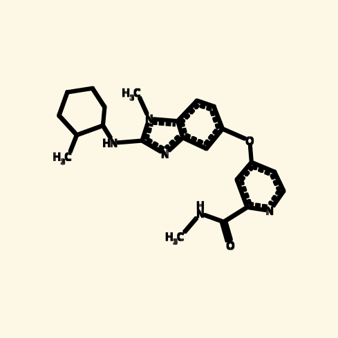 CNC(=O)c1cc(Oc2ccc3c(c2)nc(NC2CCCCC2C)n3C)ccn1